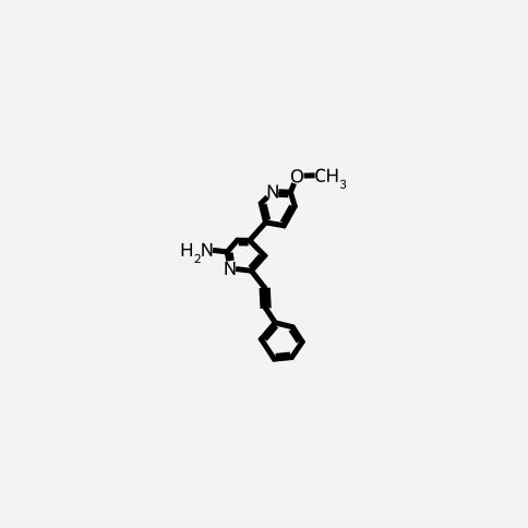 COc1ccc(-c2cc(N)nc(C#Cc3ccccc3)c2)cn1